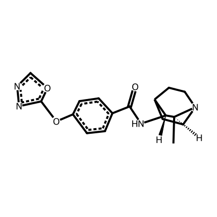 C[C@H]1[C@H](NC(=O)c2ccc(Oc3nnco3)cc2)C2CCN1CC2